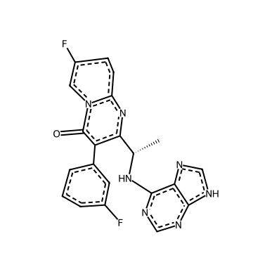 C[C@H](Nc1ncnc2[nH]cnc12)c1nc2ccc(F)cn2c(=O)c1-c1cccc(F)c1